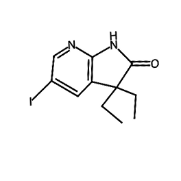 CCC1(CC)C(=O)Nc2ncc(I)cc21